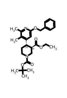 CCOC(=O)[C@H]1CN(C(=O)OC(C)(C)C)CC[C@@H]1c1cc(OCc2ccccc2)nc(C)c1C